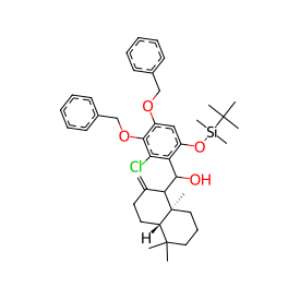 C=C1CC[C@H]2C(C)(C)CCC[C@]2(C)C1C(O)c1c(O[Si](C)(C)C(C)(C)C)cc(OCc2ccccc2)c(OCc2ccccc2)c1Cl